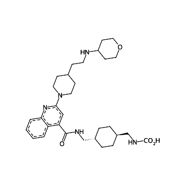 O=C(O)NC[C@H]1CC[C@H](CNC(=O)c2cc(N3CCC(CCNC4CCOCC4)CC3)nc3ccccc23)CC1